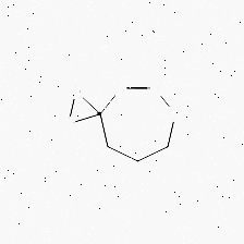 C1COOSC2(C1)OO2